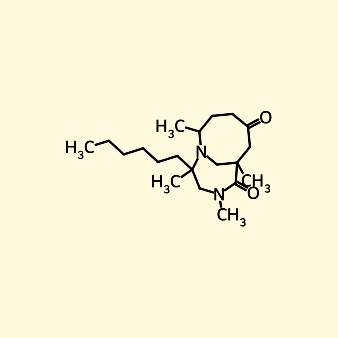 CCCCCCC1(C)CN(C)C(=O)C2(C)CC(=O)CCC(C)N1C2